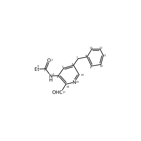 CCC(=O)Nc1cc(Cc2ccccc2)cnc1C=O